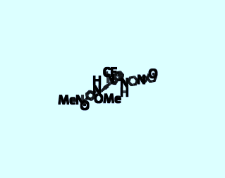 CNC(=O)c1ccc(NCC#Cc2cc3c(N[C@H]4CC[C@H](N5CC6(CCCOC6)C5)CC4)cccc3n2CC(F)(F)F)c(OC)c1